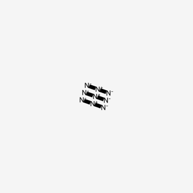 [N-]=[N+]=[N-].[N-]=[N+]=[N-].[N-]=[N+]=[N-]